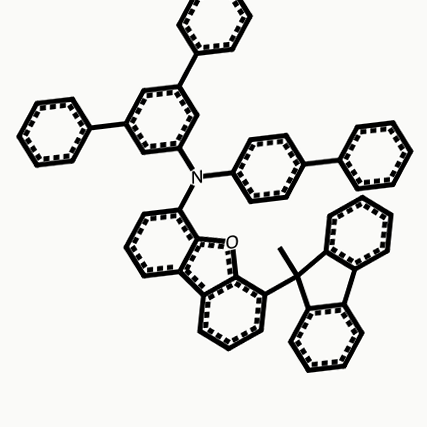 CC1(c2cccc3c2oc2c(N(c4ccc(-c5ccccc5)cc4)c4cc(-c5ccccc5)cc(-c5ccccc5)c4)cccc23)c2ccccc2-c2ccccc21